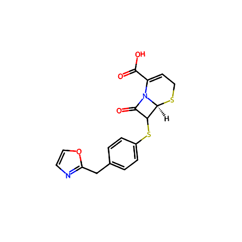 O=C(O)C1=CCS[C@H]2C(Sc3ccc(Cc4ncco4)cc3)C(=O)N12